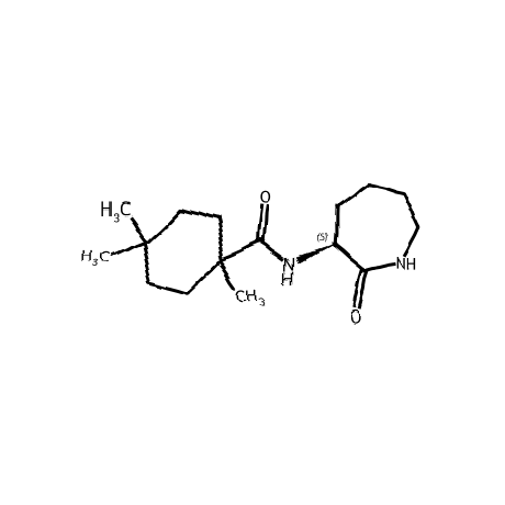 CC1(C)CCC(C)(C(=O)N[C@H]2CCCCNC2=O)CC1